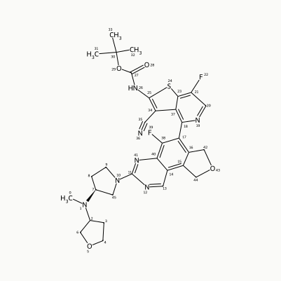 CN(C1CCOC1)[C@H]1CCN(c2ncc3c4c(c(-c5ncc(F)c6sc(NC(=O)OC(C)(C)C)c(C#N)c56)c(F)c3n2)COC4)C1